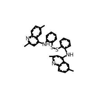 Cc1ccc2nc(C)cc(Nc3ccccc3SSc3ccccc3Nc3cc(C)nc4ccc(C)cc34)c2c1